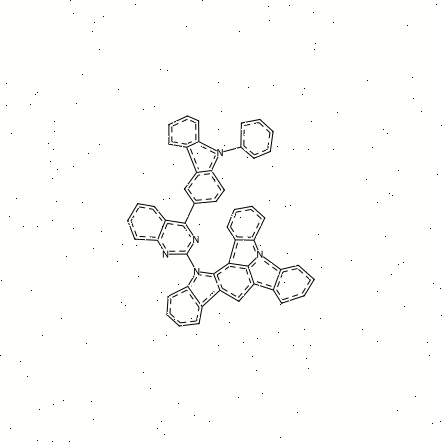 c1ccc(-n2c3ccccc3c3cc(-c4nc(-n5c6ccccc6c6cc7c8ccccc8n8c9ccccc9c(c65)c78)nc5ccccc45)ccc32)cc1